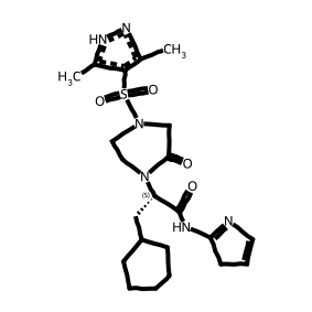 Cc1n[nH]c(C)c1S(=O)(=O)N1CCN([C@@H](CC2CCCCC2)C(=O)NC2=NC=CC2)C(=O)C1